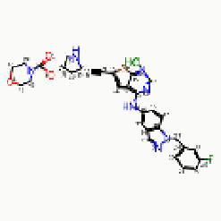 Cl.O=C(O[C@@H]1CN[C@H](C#Cc2cc3c(Nc4ccc5c(cnn5Cc5cccc(F)c5)c4)ncnc3s2)C1)N1CCOCC1